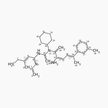 C=C/N=C(\C=C(/C)CC)NC(=C)N(C(=C)/C(N)=C\C=C(/C)c1cccc(C)c1)C1CCCCC1